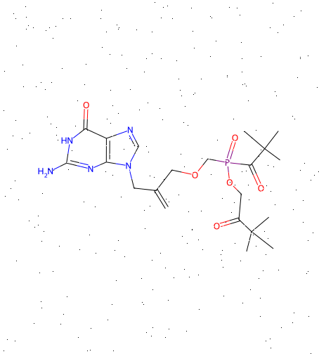 C=C(COCP(=O)(OCC(=O)C(C)(C)C)C(=O)C(C)(C)C)Cn1cnc2c(=O)[nH]c(N)nc21